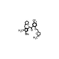 C[C@H]1CCC(COc2ccc(C(F)(F)F)cc2C(=O)N=c2cc(C(C)(C)C)n(C)n2C[C@H]2CCCO2)O1